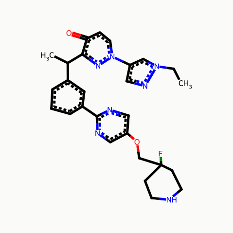 CCn1cc(-n2ccc(=O)c(C(C)c3cccc(-c4ncc(OCC5(F)CCNCC5)cn4)c3)n2)cn1